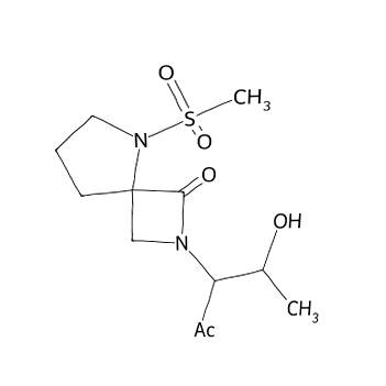 CC(=O)C(C(C)O)N1CC2(CCCN2S(C)(=O)=O)C1=O